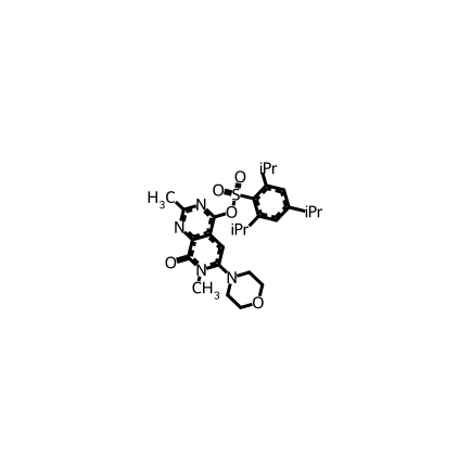 Cc1nc(OS(=O)(=O)c2c(C(C)C)cc(C(C)C)cc2C(C)C)c2cc(N3CCOCC3)n(C)c(=O)c2n1